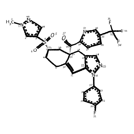 Cn1cc(S(=O)(=O)[C@H]2CCC3=Cc4c(cnn4-c4ccc(F)cc4)C[C@]3(C(=O)c3ccc(C(F)(F)F)cn3)C2)cn1